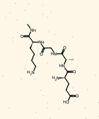 CNC(=O)[C@H](CCCCN)NC(=O)CNC(=O)[C@H](C)NC(=O)[C@H](N)CCC(=O)O